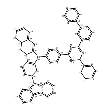 C1=CCCC(C2N=C(c3cccc(-c4ccccc4)c3)N=C(c3ccc(N4C5=CC6=CC=CCC6CC5C5=C4CC(n4c6ccccc6c6ccccc64)C=C5)cc3)N2)=C1